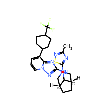 Cc1nsc(N2C[C@H]3CC[C@@H](C2)C3Nc2nc3c(C4CCC(C(F)(F)F)CC4)cccn3n2)n1